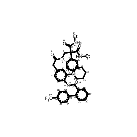 CCNC(=O)C(COC(=O)Cc1ccc(NC(=O)c2ccccc2-c2ccc(C(F)(F)F)cc2)c(N2CCCCC2)c1)(C(=O)NCC)c1ccccc1